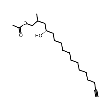 C#CCCCCCCCCCCC[C@H](O)CC(C)COC(C)=O